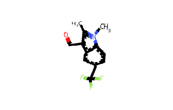 Cc1c(C=O)c2cc(C(F)(F)F)ccc2n1C